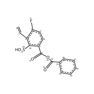 C=Cc1c(F)ccc(C(=O)OC(=O)c2ccccc2)c1S(=O)(=O)O